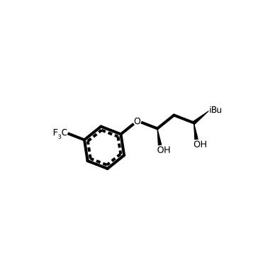 CC[C@H](C)[C@@H](O)C[C@@H](O)Oc1cccc(C(F)(F)F)c1